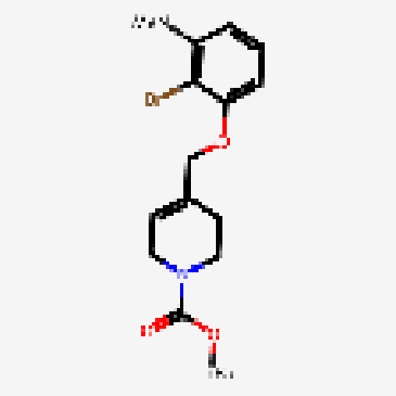 CNc1cccc(OCC2=CCN(C(=O)OC(C)(C)C)CC2)c1Br